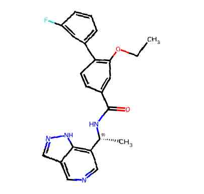 CCOc1cc(C(=O)N[C@H](C)c2cncc3cn[nH]c23)ccc1-c1cccc(F)c1